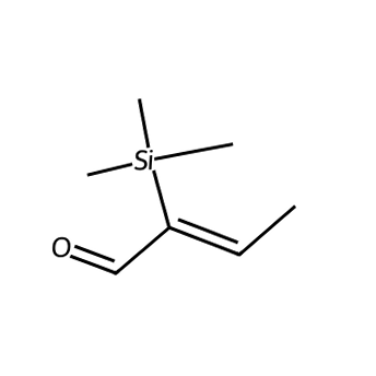 CC=C(C=O)[Si](C)(C)C